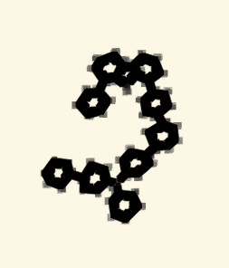 c1ccc(-c2ccc(N(c3ccccc3)c3ccc(-c4cccc(-c5ccc(-c6cccc7c6sc6c(-c8ccccc8)cccc67)cc5)c4)cc3)cc2)cc1